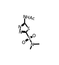 CC(=O)Nc1nnc(S(=O)(=O)N(C)C)s1